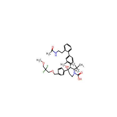 COCC(F)(F)COCc1ccc([C@@]2(O)CCN(C(=O)O)C(C(C)(C)C)[C@@H]2c2ccc(-c3ccccc3CCNC(C)=O)cc2C)cc1